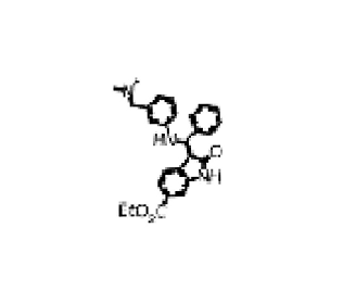 CCOC(=O)c1ccc2c(c1)NC(=O)C2=C(Nc1cccc(CN(C)C)c1)c1ccccc1